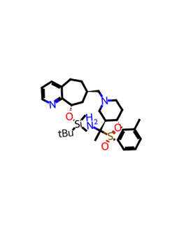 Cc1ccccc1[C@H]1CCN(C[C@@H]2CCc3cccnc3[C@@H](O[Si](C)(C)C(C)(C)C)C2)C[C@@H]1C(C)(N)S(C)(=O)=O